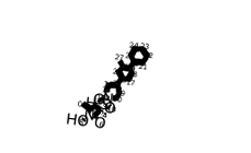 C=CC[C@](C)(C(=O)NO)S(=O)(=O)N1CC=C(c2ccc(-c3ccccc3)c(C)c2)CC1